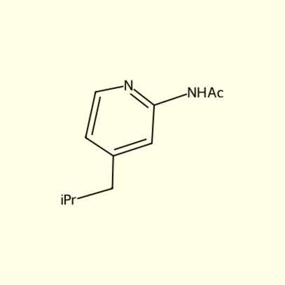 CC(=O)Nc1cc(CC(C)C)ccn1